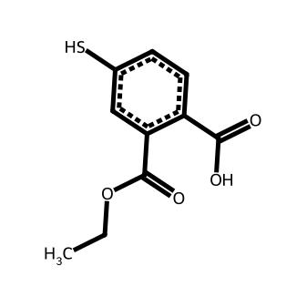 CCOC(=O)c1cc(S)ccc1C(=O)O